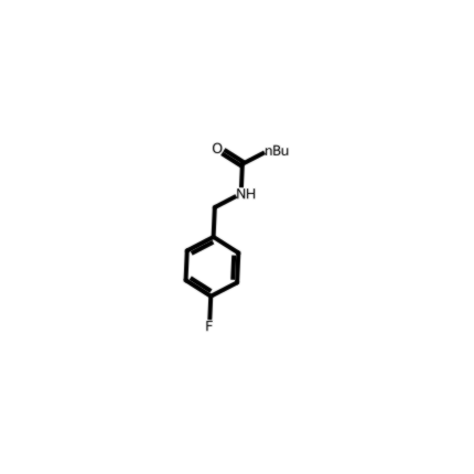 CCCCC(=O)NCc1ccc(F)cc1